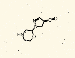 O=C=C1C=NN(C2CNCCO2)C1